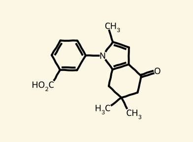 Cc1cc2c(n1-c1cccc(C(=O)O)c1)CC(C)(C)CC2=O